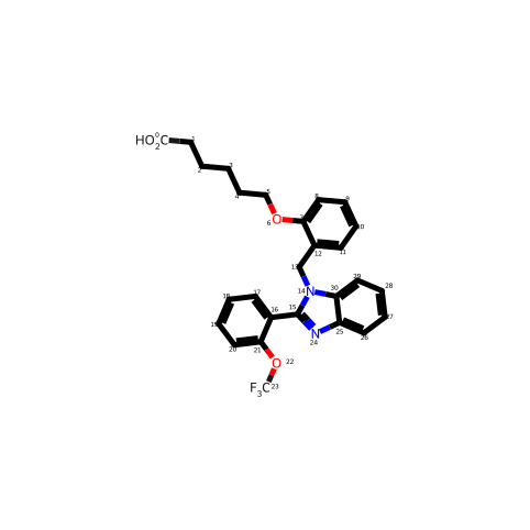 O=C(O)CCCCCOc1ccccc1Cn1c(-c2ccccc2OC(F)(F)F)nc2ccccc21